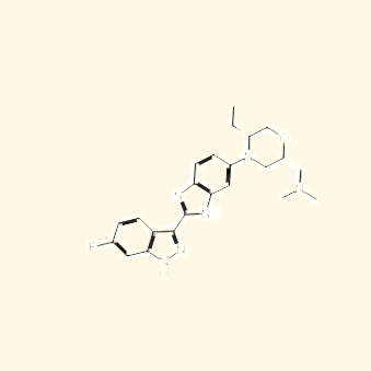 CC[C@H]1CO[C@H](CN(C)C)CN1c1ccc2nc(-c3n[nH]c4cc(F)ccc34)[nH]c2c1